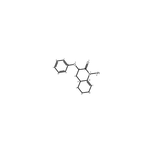 CCCN1C(=O)C(Oc2ccccc2)CC2CCCC=C21